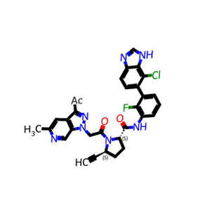 C#C[C@@H]1CC[C@@H](C(=O)Nc2cccc(-c3ccc4nc[nH]c4c3Cl)c2F)N1C(=O)Cn1nc(C(C)=O)c2cc(C)ncc21